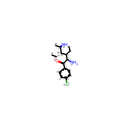 [CH2]CC(C(N)C(=O)c1ccc(Cl)cc1)[C@H](CC)C(C)=N